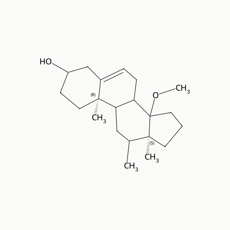 COC12CCC[C@@]1(C)C(C)CC1C2CC=C2CC(O)CC[C@@]21C